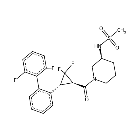 CS(=O)(=O)N[C@H]1CCCN(C(=O)[C@H]2[C@H](c3ccccc3-c3c(F)cccc3F)C2(F)F)C1